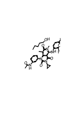 CC(=O)Nc1cccc(-n2c(=O)n(C3CC3)c(=O)c3c(Nc4ccc(I)cc4F)n(C)c(=O)c(C)c32)c1.CCCCCO